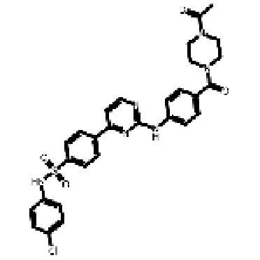 CC(=O)N1CCN(C(=O)c2ccc(Nc3nccc(-c4ccc(S(=O)(=O)Nc5ccc(Cl)cc5)cc4)n3)cc2)CC1